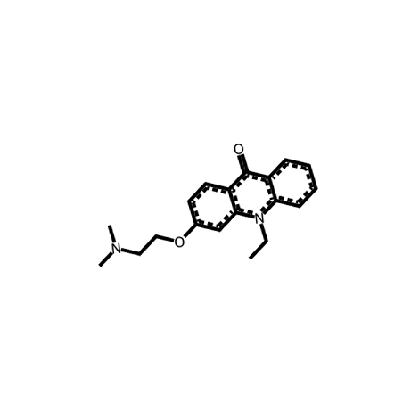 CCn1c2ccccc2c(=O)c2ccc(OCCN(C)C)cc21